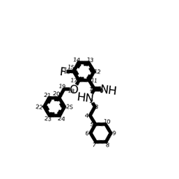 N=C(NCCC1CCCCC1)c1cccc(F)c1OCc1ccccc1